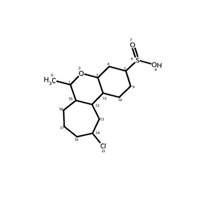 CC1OC2CC(S(=O)O)CCC2C2CC(Cl)CCCC12